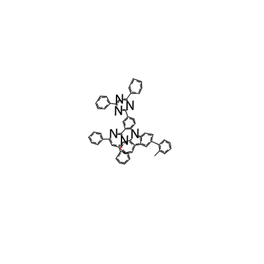 Cc1ccccc1-c1ccc2c(c1)c1ccccc1n2-c1ccc(-c2nc(-c3ccccc3)nc(-c3ccccc3)n2)cc1-c1nc(-c2ccccc2)cc(-c2ccccc2)n1